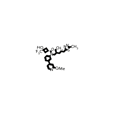 C=CC(CCCc1nnc(C)s1)CN(c1cccc(-c2ccnc(OC)c2)c1)C(=O)[C@H]1C[C@](O)(C(F)(F)F)C1